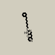 O=c1[nH]c(SCCCCCCCc2ccccc2)ncc1Cc1cccnc1